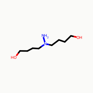 NN(CCCCO)CCCCO